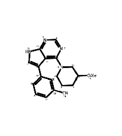 COC1CCCN(c2ncnc3[nH]cc(-c4cccc(C#N)c4)c23)C1